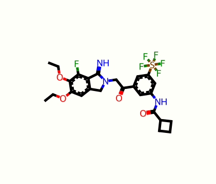 CCOc1cc2c(c(F)c1OCC)C(=N)N(CC(=O)c1cc(NC(=O)C3CCC3)cc(S(F)(F)(F)(F)F)c1)C2